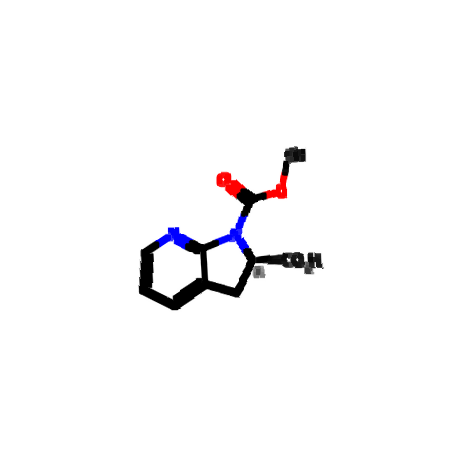 CC(C)(C)OC(=O)N1c2ncccc2C[C@@H]1C(=O)O